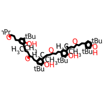 CCCC(=O)CCc1cc(C(C)(C)C)c(O)c(C(C)(C)CCC(=O)CCc2cc(C(C)(C)C)c(O)c(C(C)(C)CCC(=O)CCc3cc(C(C)(C)C)c(O)c(C(C)(C)CCC(=O)CCc4cc(C(C)(C)C)c(O)c(C(C)(C)C)c4)c3)c2)c1